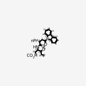 CCC[C@H](CC(=O)n1c2ccccc2c2ccccc21)C(=O)NC(CC(=O)O)C(=O)CF